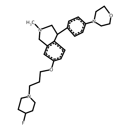 CN1Cc2cc(OCCCN3CCC(F)CC3)ccc2C(c2ccc(N3CCOCC3)cc2)C1